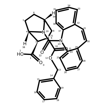 O=C(O)[C@H]1[C@@H]2CC[C@H](CN1C(=O)OCc1ccccc1)N2C(=O)N1c2ccccc2C=Cc2ccccc21